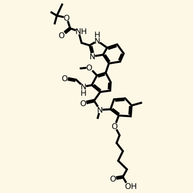 COc1c(-c2cccc3[nH]c(CNC(=O)OC(C)(C)C)nc23)ccc(C(=O)N(C)c2ccc(C)cc2OCCCCCC(=O)O)c1NC=O